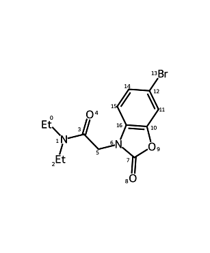 CCN(CC)C(=O)Cn1c(=O)oc2cc(Br)ccc21